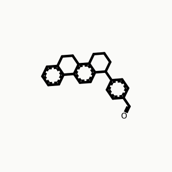 O=Cc1ccc(C2CCCc3c2ccc2c3CCc3ccccc3-2)cc1